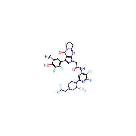 Cc1cc(-c2cn(CC(=O)Nc3cc(N4CCN(CC(F)F)C[C@@H]4C)nc(F)c3Cl)c3nc4n(c(=O)c23)CCC4)c(F)c(F)c1O